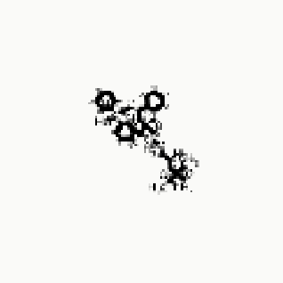 C[C@H]1OCC12[C@H]([C@@H](N)COC[C@@H]1OC[C@@]13[C@H]([C@H](CC(C)(C)[Si](O)(c1ccccc1)c1ccccc1)c1ccccc1)OC3(C)C)OC2(C)C